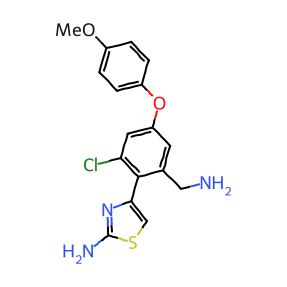 COc1ccc(Oc2cc(Cl)c(-c3csc(N)n3)c(CN)c2)cc1